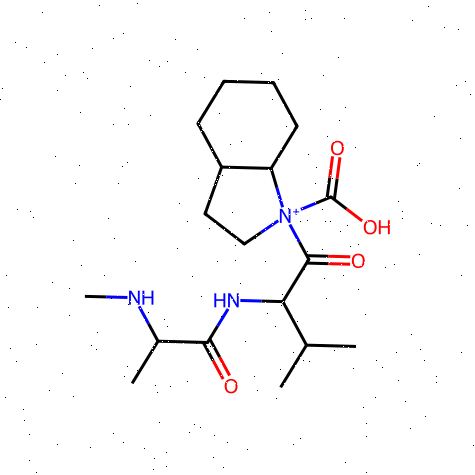 CNC(C)C(=O)NC(C(=O)[N+]1(C(=O)O)CCC2CCCCC21)C(C)C